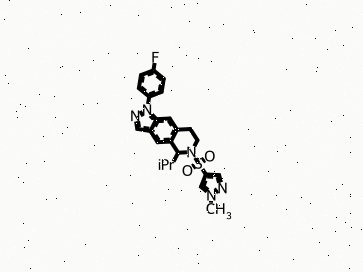 CC(C)C1c2cc3cnn(-c4ccc(F)cc4)c3cc2CCN1S(=O)(=O)c1cnn(C)c1